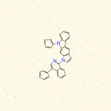 c1ccc(-c2cnc(-n3ccc4cc5c6ccccc6n(-c6ccccc6)c5cc43)c3ccccc23)cc1